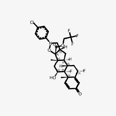 C[C@]12C=CC(=O)C=C1[C@@H](F)C[C@H]1[C@@H]3C[C@H]4CN(c5ccc(Cl)cc5)O[C@@]4(C(=O)OCC(F)(F)F)[C@@]3(C)C[C@H](O)[C@@]12F